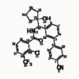 N#Cc1ccc(-c2cccc(C(NC(=O)c3cccc(C(F)(F)F)c3Cl)C3(O)CCCC3)c2)cc1